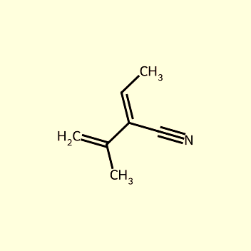 C=C(C)/C(C#N)=C/C